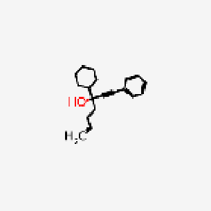 C=CCCC(O)(C#Cc1ccccc1)C1CCCCC1